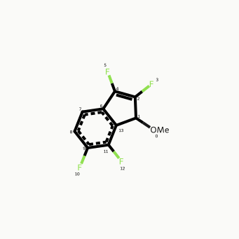 COC1C(F)=C(F)c2ccc(F)c(F)c21